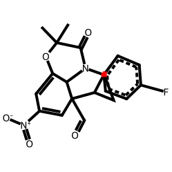 CC1(C)OC2=CC([N+](=O)[O-])=CC(C=O)(C3CC3)C2N(c2ccc(F)cc2)C1=O